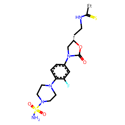 CCC(=S)NCC[C@H]1CN(c2ccc(N3CCN(S(N)(=O)=O)CC3)c(F)c2)C(=O)O1